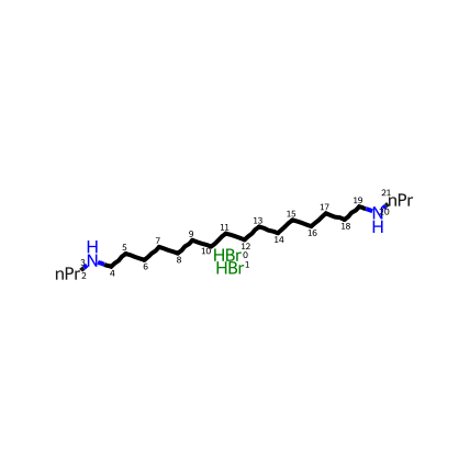 Br.Br.CCCNCCCCCCCCCCCCCCCCNCCC